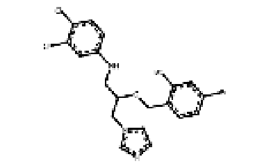 Clc1ccc(NCC(Cn2ccnc2)OCc2ccc(Br)cc2Br)cc1Cl